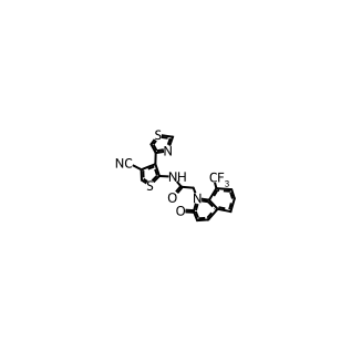 N#Cc1csc(NC(=O)Cn2c(=O)ccc3cccc(C(F)(F)F)c32)c1-c1cscn1